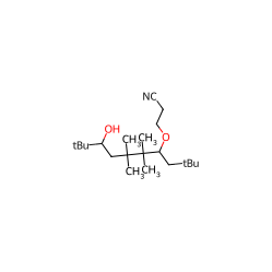 CC(C)(C)CC(OCCC#N)C(C)(C)C(C)(C)CC(O)C(C)(C)C